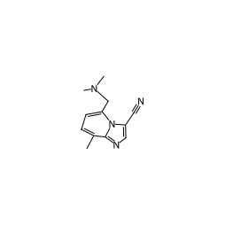 Cc1ccc(CN(C)C)n2c(C#N)cnc12